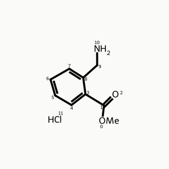 COC(=O)c1ccccc1CN.Cl